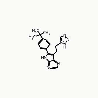 CC(C)(C)c1ccc(-c2[nH]c3nccnc3c2CC[n+]2cnn[nH]2)cc1